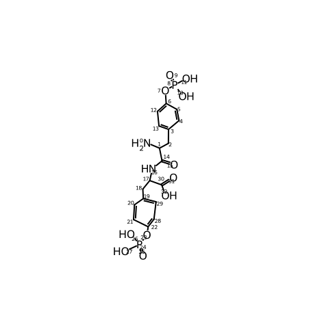 NC(Cc1ccc(OP(=O)(O)O)cc1)C(=O)NC(Cc1ccc(OP(=O)(O)O)cc1)C(=O)O